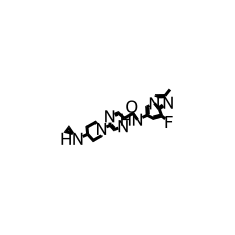 Cc1cn2cc(NC(=O)c3cnc(N4CCC(NC5CC5)CC4)cn3)cc(F)c2n1